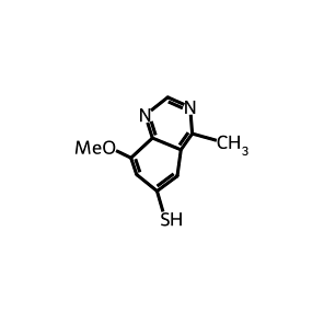 COc1cc(S)cc2c(C)ncnc12